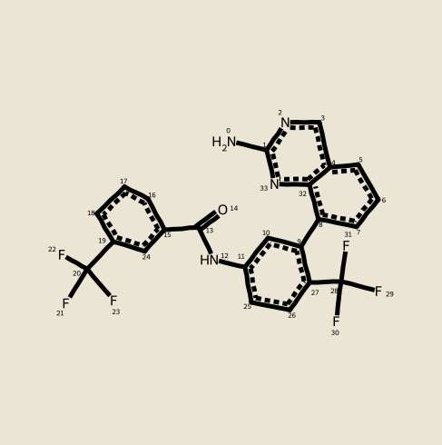 Nc1ncc2cccc(-c3cc(NC(=O)c4cccc(C(F)(F)F)c4)ccc3C(F)(F)F)c2n1